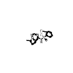 Cc1ccc2c(NS(=O)(=O)c3ccccc3Cl)ncnn12